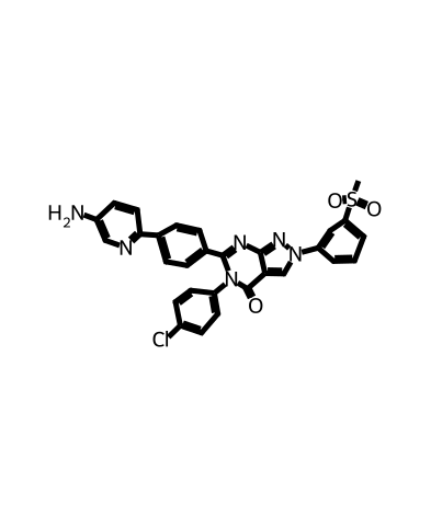 CS(=O)(=O)c1cccc(-n2cc3c(=O)n(-c4ccc(Cl)cc4)c(-c4ccc(-c5ccc(N)cn5)cc4)nc3n2)c1